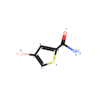 Bc1csc(C(N)=O)c1